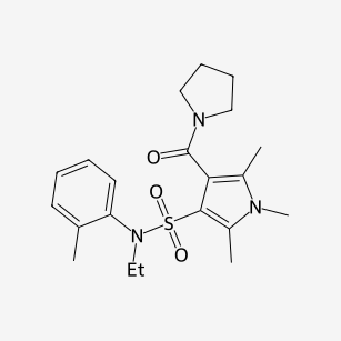 CCN(c1ccccc1C)S(=O)(=O)c1c(C(=O)N2CCCC2)c(C)n(C)c1C